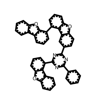 c1ccc(-c2nc(-c3ccc4oc5cccc(-c6cccc7c6oc6ccccc67)c5c4c3)nc(-c3cccc4oc5ccccc5c34)n2)cc1